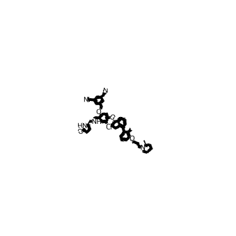 Cc1c(OCCCN2CCCC[C@@H]2C)cccc1-c1cccc2c1CC[C@@H]2Oc1cc(OCc2cc(C#N)cc(C#N)c2)c(CNC[C@H]2CCC(=O)N2)cc1Cl